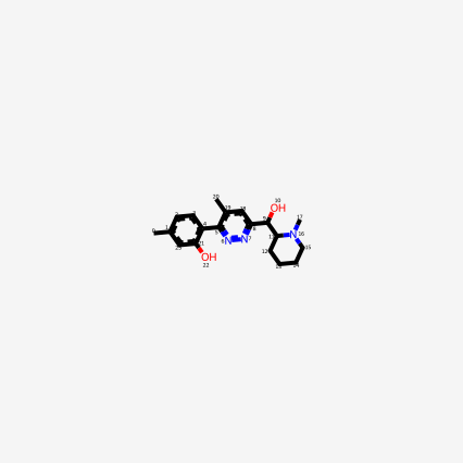 Cc1ccc(-c2nnc(C(O)C3CCCCN3C)cc2C)c(O)c1